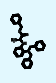 C[C@H](Nc1ccccc1N(Cc1ccccc1)Cc1ccccc1)C(=O)OCc1ccccc1